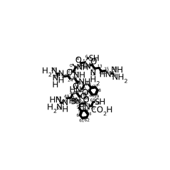 C[C@@H](NC(=O)[C@H](CS)NC(=O)[C@@H](N)CCCNC(=N)N)C(=O)N[C@@H](CCCNC(=N)N)C(=O)N[C@H](Cc1ccccc1)C(=O)N[C@@H](CC(Br)CNC(=N)N)C(=O)N[C@H](Cc1ccccc1)C(=O)N[C@@H](CS)C(=O)O